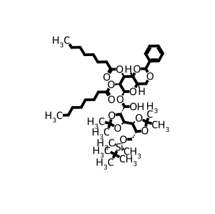 CCCCCCCC(=O)O[C@@H]1[C@H](OC(=O)CCCCCCC)[C@H](OC(O)[C@H]2OC(C)(C)O[C@H]2[C@@H]2OC(C)(C)O[C@@H]2CO[Si](C)(C)C(C)(C)C)O[C@@H]2COC(c3ccccc3)O[C@@H]12